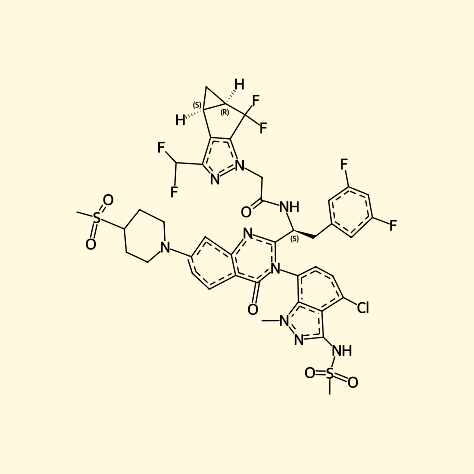 Cn1nc(NS(C)(=O)=O)c2c(Cl)ccc(-n3c([C@H](Cc4cc(F)cc(F)c4)NC(=O)Cn4nc(C(F)F)c5c4C(F)(F)[C@@H]4C[C@H]54)nc4cc(N5CCC(S(C)(=O)=O)CC5)ccc4c3=O)c21